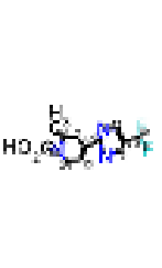 C[C@H]1CC(c2ncc(C(F)F)cn2)=CCN1C(=O)O